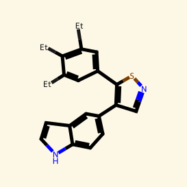 CCc1cc(-c2sncc2-c2ccc3[nH]ccc3c2)cc(CC)c1CC